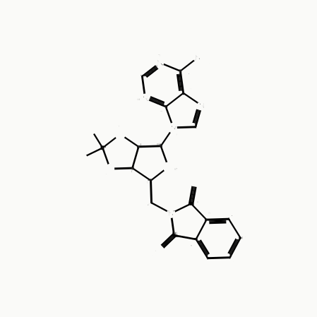 CC1(C)OC2C(CN3C(=O)c4ccccc4C3=O)OC(n3cnc4c(N)ncnc43)C2O1